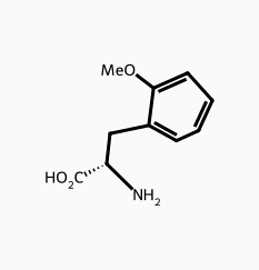 COc1ccccc1C[C@H](N)C(=O)O